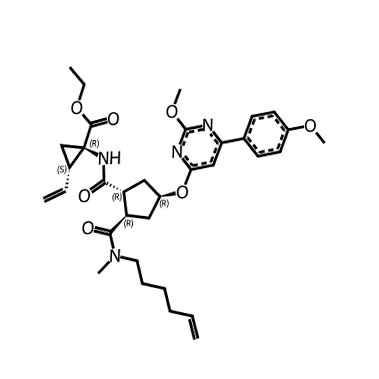 C=CCCCCN(C)C(=O)[C@@H]1C[C@H](Oc2cc(-c3ccc(OC)cc3)nc(OC)n2)C[C@H]1C(=O)N[C@]1(C(=O)OCC)C[C@H]1C=C